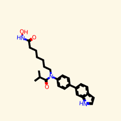 CC(C)C(=O)N(CCCCCCC(=O)NO)c1ccc(-c2ccc3cc[nH]c3c2)cc1